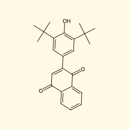 CC(C)(C)c1cc(C2=CC(=O)c3ccccc3C2=O)cc(C(C)(C)C)c1O